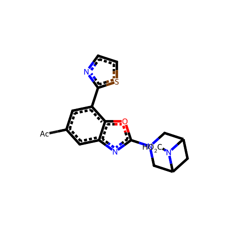 CC(=O)c1cc(-c2nccs2)c2oc(N3CC4CC(C3)N4C(=O)O)nc2c1